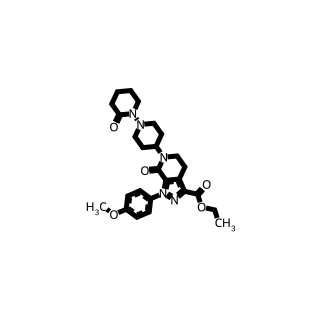 CCOC(=O)c1nn(-c2ccc(OC)cc2)c2c1CCN(C1CCN(N3CCCCC3=O)CC1)C2=O